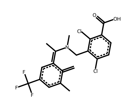 C=c1c(C)cc(C(F)(F)F)c/c1=C(\C)N(C)Cc1c(Cl)ccc(C(=O)O)c1Cl